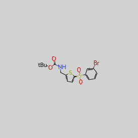 CC(C)(C)OC(=O)NCc1ccc(S(=O)(=O)c2cccc(Br)c2)s1